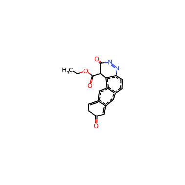 CCOC(=O)C1C(=O)N=Nc2ccc3cc4c(cc3c21)=CCC(=O)C=4